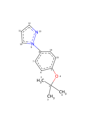 CC(C)(C)Oc1ccc(-n2cccn2)cc1